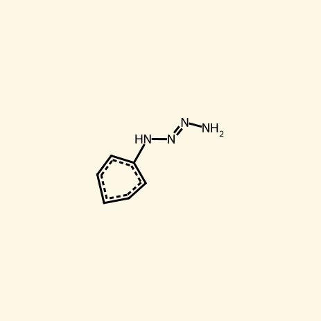 NN=NNc1ccccc1